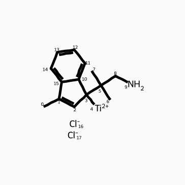 CC1=C[C]([Ti+2])(C(C)(C)CN)c2ccccc21.[Cl-].[Cl-]